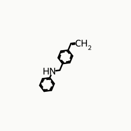 C=Cc1ccc(CNc2ccccc2)cc1